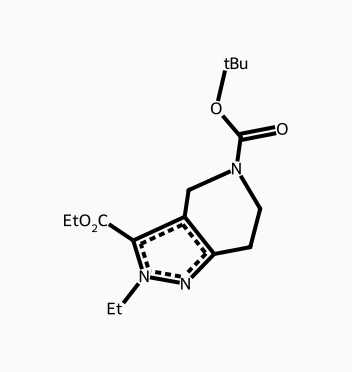 CCOC(=O)c1c2c(nn1CC)CCN(C(=O)OC(C)(C)C)C2